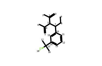 C=C(C)C(C(=C)C)C(CC)c1cccc(C(C)(C)F)c1